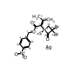 CC(C)=C(C(=O)OCc1ccc([N+](=O)[O-])cc1)[N+]1([S-])CC(Br)(Br)C1=O.[Ag]